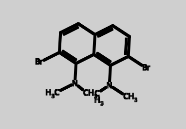 CN(C)c1c(Br)ccc2ccc(Br)c(N(C)C)c12